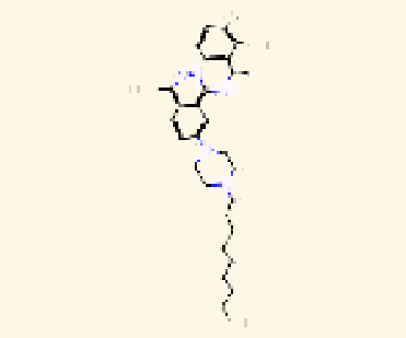 Cc1c([C@@H](C)Nc2nnc(C)c3ccc(N4CCN(CCCCCCCCC=O)CC4)cc23)cccc1C(F)(F)F